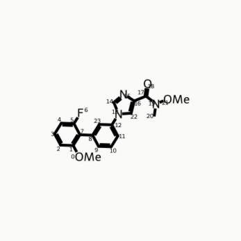 COc1cccc(F)c1-c1cccc(-n2cnc(C(=O)N(C)OC)c2)c1